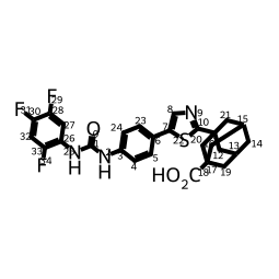 O=C(Nc1ccc(-c2cnc(C34CC5CC(CC(C(=O)O)(C5)C3)C4)s2)cc1)Nc1cc(F)c(F)cc1F